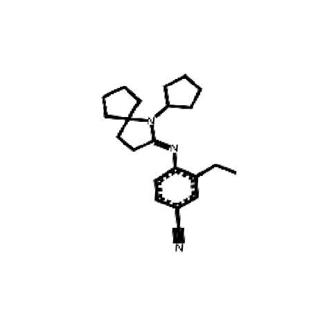 CCc1cc(C#N)ccc1N=C1CCC2(CCCC2)N1C1CCCC1